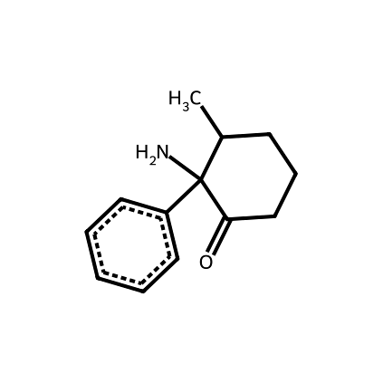 CC1CCCC(=O)C1(N)c1ccccc1